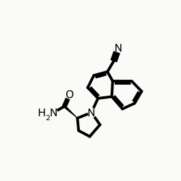 N#Cc1ccc(N2CCC[C@H]2C(N)=O)c2ccccc12